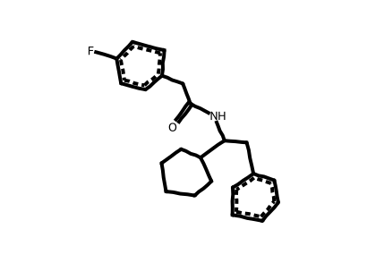 O=C(Cc1ccc(F)cc1)NC(Cc1ccccc1)C1CCCCC1